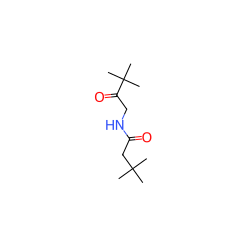 CC(C)(C)CC(=O)NCC(=O)C(C)(C)C